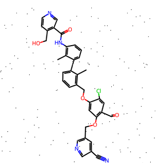 Cc1c(COc2cc(OCc3cncc(C#N)c3)c(C=O)cc2Cl)cccc1-c1cccc(NC(=O)c2cnccc2CO)c1C